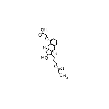 CCC(=O)OCCC[C@@H]1[C@H]2Cc3cccc(OCC(=O)O)c3C[C@H]2C[C@H]1O